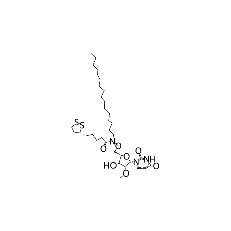 CCCCCCCCCCCCCCCCN(OC[C@H]1O[C@@H](n2ccc(=O)[nH]c2=O)C(OC)C1O)C(=O)CCCC[C@@H]1CCSS1